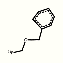 [18F]COCc1ccccc1